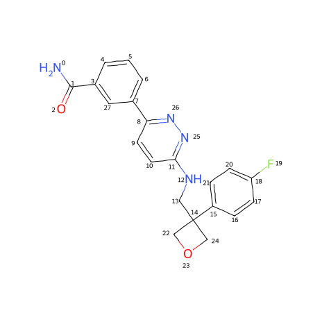 NC(=O)c1cccc(-c2ccc(NCC3(c4ccc(F)cc4)COC3)nn2)c1